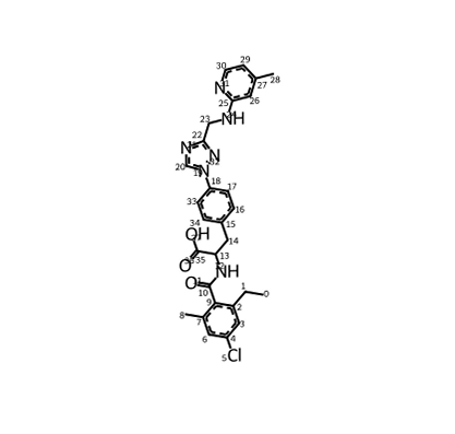 CCc1cc(Cl)cc(C)c1C(=O)NC(Cc1ccc(-n2cnc(CNc3cc(C)ccn3)n2)cc1)C(=O)O